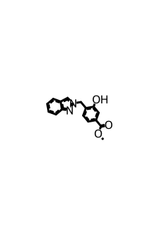 COC(=O)c1ccc(Cn2cc3ccccc3n2)c(O)c1